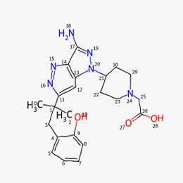 CC(C)(Cc1ccccc1O)c1cc2c(nn1)c(N)nn2C1CCN(CC(=O)O)CC1